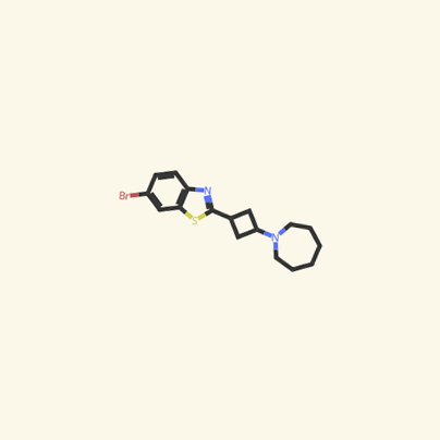 Brc1ccc2nc(C3CC(N4CCCCCC4)C3)sc2c1